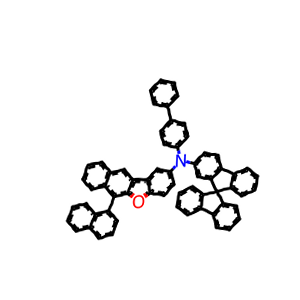 c1ccc(-c2ccc(N(c3ccc4c(c3)C3(c5ccccc5-c5ccccc53)c3ccccc3-4)c3ccc4oc5c(-c6cccc7ccccc67)c6ccccc6cc5c4c3)cc2)cc1